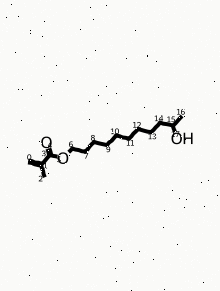 C=C(C)C(=O)OCCCCCCCCCC(C)O